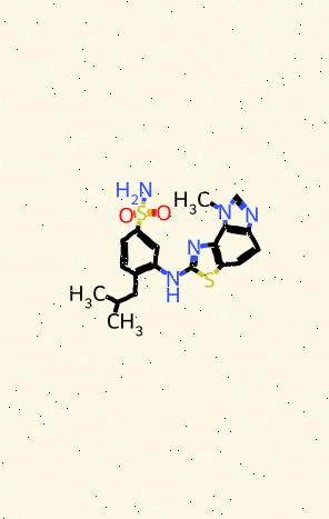 CC(C)Cc1ccc(S(N)(=O)=O)cc1Nc1nc2c(ccc3ncn(C)c32)s1